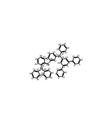 c1ccc(-c2cc(-c3ccccc3)cc(N(c3ccccc3)c3ccc4c(c3)sc3c(-n5c6ccccc6c6ccccc65)cccc34)c2)cc1